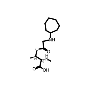 CN[C@H](C(=O)O)[C@@H](C)OC(=O)CNC1CCCCCC1